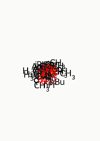 CCCCO[C@@H]1[C@H](OC(=O)CCC)[C@@H](OP(=O)(OC2(OC(C)=O)CC(C)CCC2C(C)C)OC2(OC(C)=O)CC(C)CCC2C(C)C)[C@H](OP(=O)(OC2(OC(C)=O)CC(C)CCC2C(C)C)OC2(OC(C)=O)CC(C)CCC2C(C)C)[C@@H](OP(=O)(OC2(OC(C)=O)CC(C)CCC2C(C)C)OC2(OC(C)=O)CC(C)CCC2C(C)C)[C@@H]1OP(=O)(OC1(OC(C)=O)CC(C)CCC1C(C)C)OC1(OC(C)=O)CC(C)CCC1C(C)C